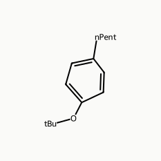 CCCCCc1ccc(OC(C)(C)C)cc1